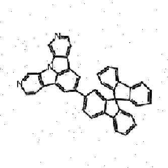 c1ccc2c(c1)-c1ccccc1C21c2ccccc2-c2ccc(-c3cc4c5ccncc5n5c6cnccc6c(c3)c45)cc21